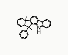 CC12C=CC=CC1C(C)(c1ccccc1)c1c2ccc2c1[nH]c1ccccc12